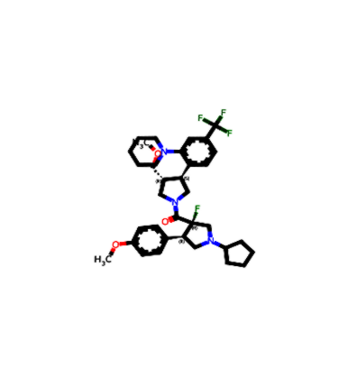 COC[C@H]1CN(C(=O)[C@]2(F)CN(C3CCCC3)C[C@H]2c2ccc(OC)cc2)C[C@@H]1c1ccc(C(F)(F)F)cc1N1CCCCC1